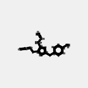 [N-]=[N+]=NCc1nn(Cc2ccc(O)cc2)cc1NN=N